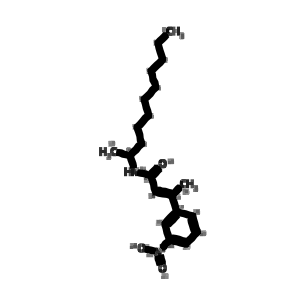 CCCCCCCCCC(C)NC(=O)C=C(C)c1cccc([N+](=O)[O-])c1